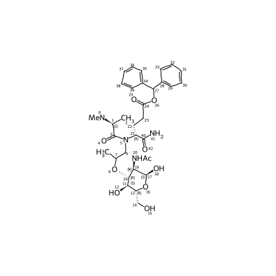 CN[C@@H](C)C(=O)N(CC(C)O[C@H]1[C@H](O)[C@@H](CO)O[C@H](O)[C@@H]1NC(C)=O)[C@H](CCC(=O)OC(c1ccccc1)c1ccccc1)C(N)=O